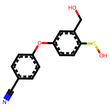 N#Cc1ccc(Oc2ccc(SO)c(CO)c2)cc1